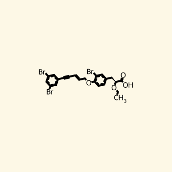 CCO[C@@H](Cc1ccc(OC/C=C/C#Cc2cc(Br)cc(Br)c2)c(Br)c1)C(=O)O